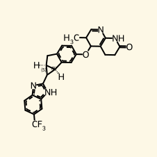 CC1C=NC2=C(CCC(=O)N2)C1Oc1ccc2c(c1)[C@H]1C(c3nc4ccc(C(F)(F)F)cc4[nH]3)[C@H]1C2